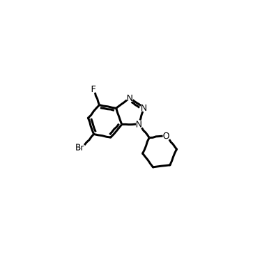 Fc1cc(Br)cc2c1nnn2C1CCCCO1